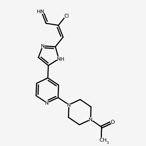 CC(=O)N1CCN(c2cc(-c3cnc(/C=C(/Cl)C=N)[nH]3)ccn2)CC1